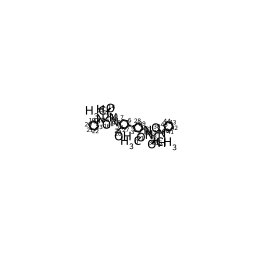 COc1cc(-c2ccc(/N=N/C(C(C)=O)C(=O)Nc3ccccc3)c(CO)c2)ccc1/N=N/C(C(C)=O)C(=O)Nc1ccccc1